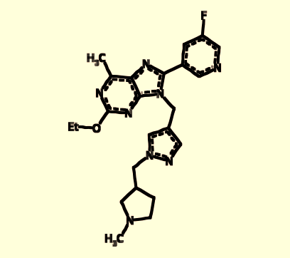 CCOc1nc(C)c2nc(-c3cncc(F)c3)n(Cc3cnn(CC4CCN(C)C4)c3)c2n1